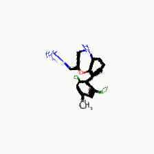 Cc1cc(Cl)c(-c2cccc3c2OC(CN)CN3)c(Cl)c1